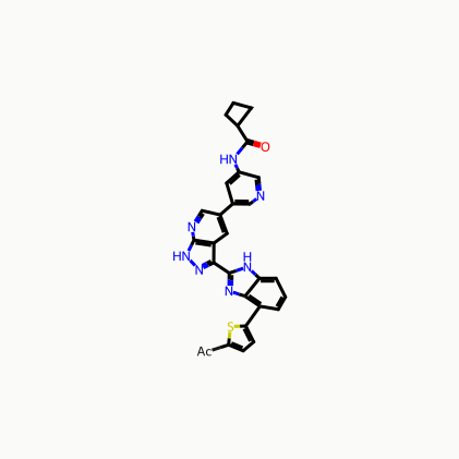 CC(=O)c1ccc(-c2cccc3[nH]c(-c4n[nH]c5ncc(-c6cncc(NC(=O)C7CCC7)c6)cc45)nc23)s1